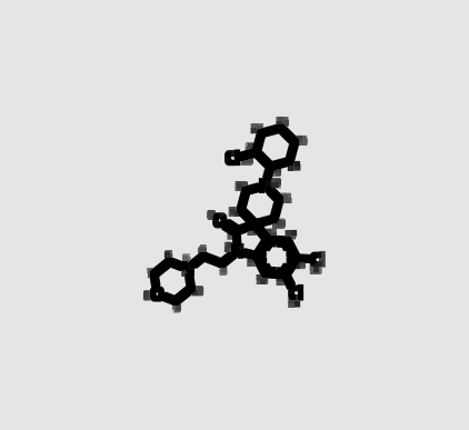 O=C1N(CCN2CCOCC2)c2cc(Cl)c(Cl)cc2C12CCN(C1CCCCC1Cl)CC2